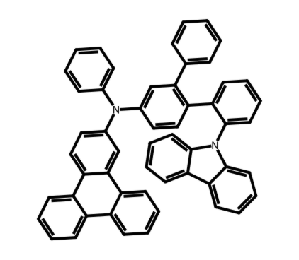 c1ccc(-c2cc(N(c3ccccc3)c3ccc4c5ccccc5c5ccccc5c4c3)ccc2-c2ccccc2-n2c3ccccc3c3ccccc32)cc1